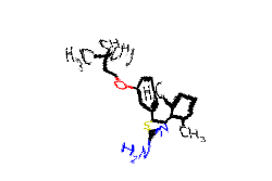 Cc1cccc(C)c1-c1nc(N)sc1-c1cccc(OCCC(C)(C)C)c1